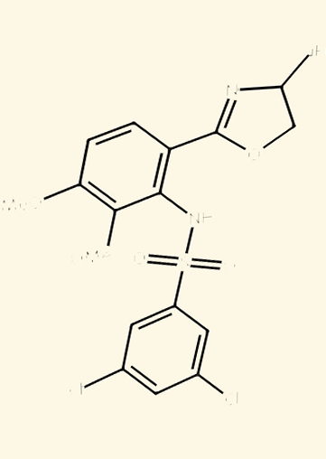 COc1ccc(C2=NC(C(C)C)CO2)c(NS(=O)(=O)c2cc(Cl)cc(Cl)c2)c1OC